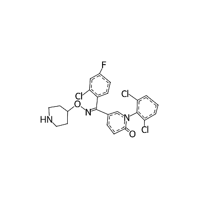 O=c1ccc(/C(=N/OC2CCNCC2)c2ccc(F)cc2Cl)cn1-c1c(Cl)cccc1Cl